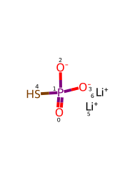 O=P([O-])([O-])S.[Li+].[Li+]